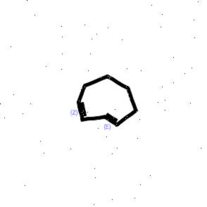 C1=C\CCCC/C=C/1